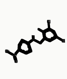 Cc1c(Cl)cc(Cl)cc1CNc1ccc([N+](=O)[O-])cc1